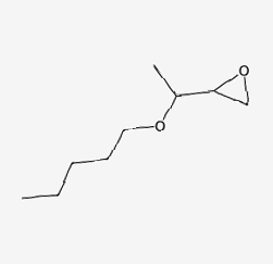 CCCCCOC(C)C1CO1